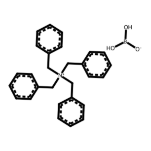 [O-]B(O)O.c1ccc(C[N+](Cc2ccccc2)(Cc2ccccc2)Cc2ccccc2)cc1